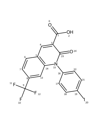 O=C(O)c1cc2ccc(C(F)(F)F)cc2n(-c2ccc(I)cc2)c1=O